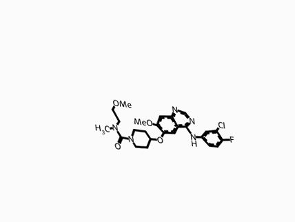 COCCN(C)C(=O)N1CCC(Oc2cc3c(Nc4ccc(F)c(Cl)c4)ncnc3cc2OC)CC1